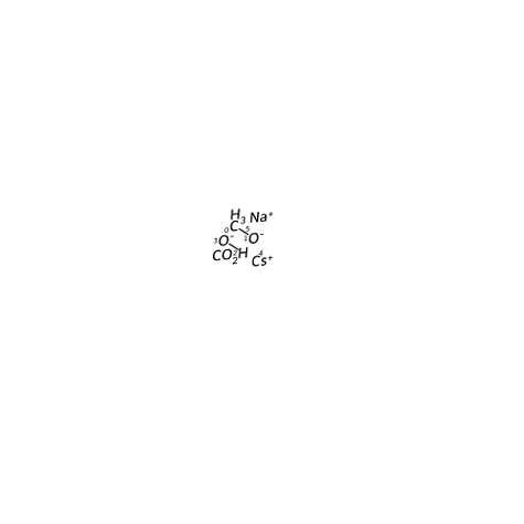 C[O-].O=C([O-])O.[Cs+].[Na+]